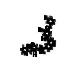 CC(NC(Cc1ccccn1)=S(=O)=O)c1nc(-c2ccc3ncnc(Nc4ccc(OCc5cccc(F)c5)c(Br)c4)c3c2)cs1